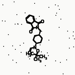 CC(C)(C)ON(C=O)[C@H]1CC[C@@H](CN2C(=O)c3ccccc3C2=O)CC1